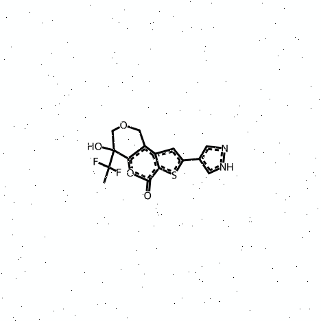 CC(F)(F)C1(O)COCc2c1oc(=O)c1sc(-c3cn[nH]c3)cc21